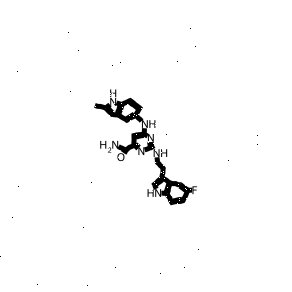 Cc1cc2cc(Nc3cc(C(N)=O)nc(NCCc4c[nH]c5ccc(F)cc45)n3)ccc2[nH]1